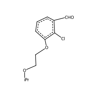 CC(C)OCCOc1cccc(C=O)c1Cl